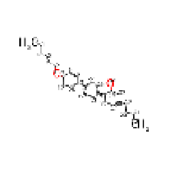 CCCCCCOc1ccc(-c2ccc(C3CCC(CCCC)CC3=O)cc2)cc1